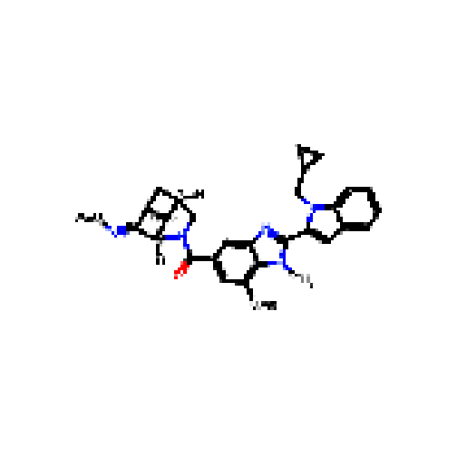 CO/N=C1\C2C[C@@H]3CN(C(=O)c4cc(OC)c5c(c4)nc(-c4cc6ccccc6n4CC4CC4)n5C)[C@H]1[C@H]23